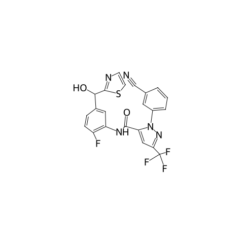 N#Cc1cccc(-n2nc(C(F)(F)F)cc2C(=O)Nc2cc(C(O)c3nccs3)ccc2F)c1